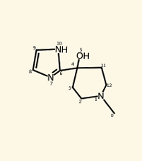 CN1CCC(O)(c2ncc[nH]2)CC1